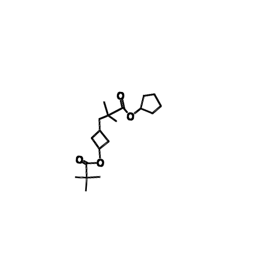 CC(C)(C)C(=O)OC1CC(CC(C)(C)C(=O)OC2CCCC2)C1